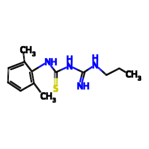 CCCNC(=N)NC(=S)Nc1c(C)cccc1C